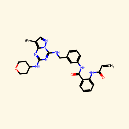 C=CC(=O)Nc1ccccc1C(=O)Nc1cccc(CNc2nc(NC3CCOCC3)nc3c(C(C)C)cnn23)c1